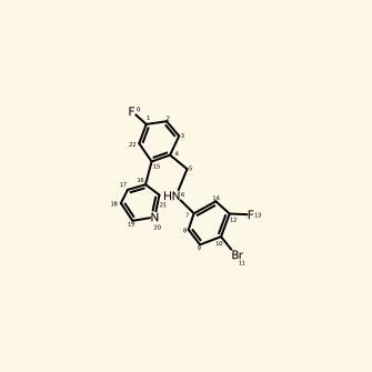 Fc1ccc(CNc2ccc(Br)c(F)c2)c(-c2cccnc2)c1